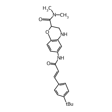 CN(C)C(=O)C1CNc2cc(NC(=O)/C=C/c3ccc(C(C)(C)C)cc3)ccc2O1